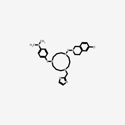 CN(C)c1ccc(SN2CCCN(Cc3ncco3)CCCN(SN3CCc4cc(Cl)ccc4C3)CCC2)cc1